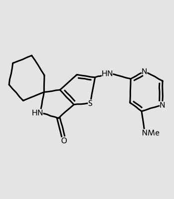 CNc1cc(Nc2cc3c(s2)C(=O)NC32CCCCC2)ncn1